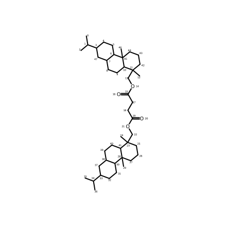 CC(C)C1CCC2C(CCC3C(C)(COC(=O)CCC(=O)OCC4(C)CCCC5(C)C6CCC(C(C)C)CC6CCC45)CCCC23C)C1